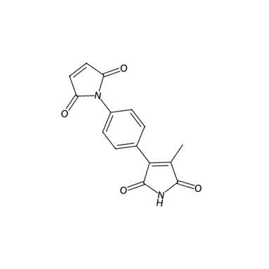 CC1=C(c2ccc(N3C(=O)C=CC3=O)cc2)C(=O)NC1=O